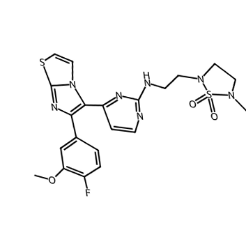 COc1cc(-c2nc3sccn3c2-c2ccnc(NCCN3CCN(C)S3(=O)=O)n2)ccc1F